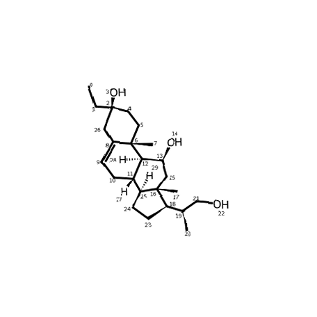 CC[C@]1(O)CC[C@@]2(C)C(=CC[C@@H]3[C@@H]2[C@@H](O)C[C@]2(C)[C@@H]([C@H](C)CO)CC[C@@H]32)C1